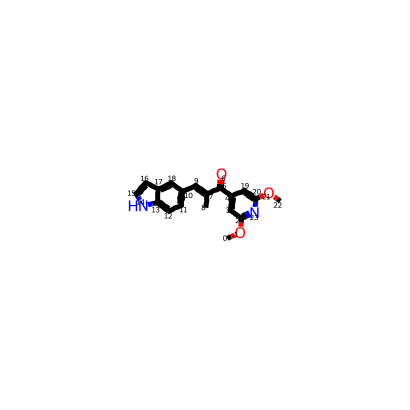 COc1cc(C(=O)/C(C)=C/c2ccc3[nH]ccc3c2)cc(OC)n1